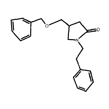 O=C1CC(COCc2ccccc2)CN1CCc1ccccc1